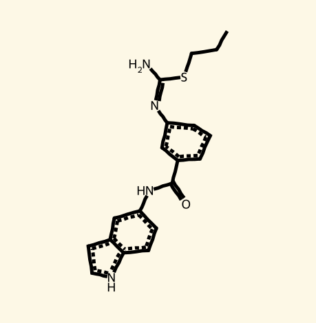 CCCS/C(N)=N\c1cccc(C(=O)Nc2ccc3[nH]ccc3c2)c1